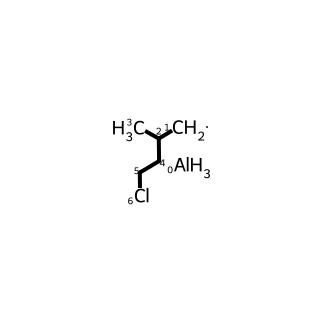 [AlH3].[CH2]C(C)CCCl